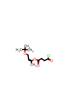 C/C(=C/COC(C)(C)C)OC(=O)CCC(=O)Cl